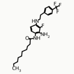 CCCCCCCCCC(=O)Nc1ccc(NCCc2ccc(C(F)(F)F)cc2)c(F)c1N